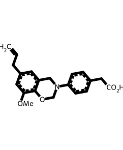 C=CCc1cc2c(c(OC)c1)OCN(c1ccc(CC(=O)O)cc1)C2